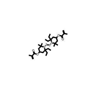 C=C(C)C(=O)OC1CC(C)(C)N(SSN2C(C)(C)CC(OC(=O)C(=C)C)CC2(CC)CC)C(CC)(CC)C1